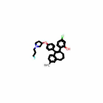 O=Cc1ccc2c(c1)CCCC(c1ccc(Cl)cc1O)=C2c1ccc(OC2CCN(CCCF)C2)cc1